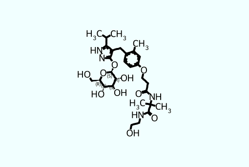 Cc1cc(OCCC(=O)NC(C)(C)C(=O)NCCO)ccc1Cc1c(O[C@@H]2O[C@H](CO)[C@@H](O)[C@H](O)[C@H]2O)n[nH]c1C(C)C